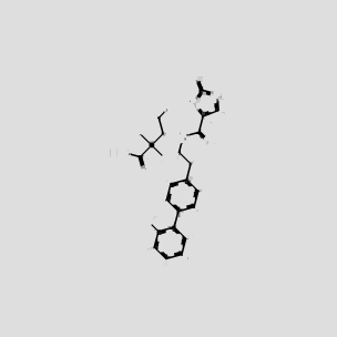 CC(CCO)(C[C@@H](Cc1ccc(-c2ccccc2F)cc1)NC(=O)c1coc(=O)[nH]1)C(=O)O